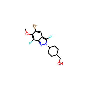 COc1c(Br)cc2c(F)n([C@H]3CC[C@H](CO)CC3)nc2c1F